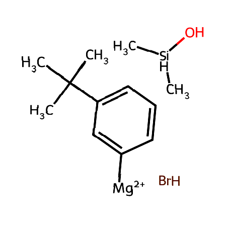 Br.CC(C)(C)c1ccc[c]([Mg+2])c1.C[SiH](C)O